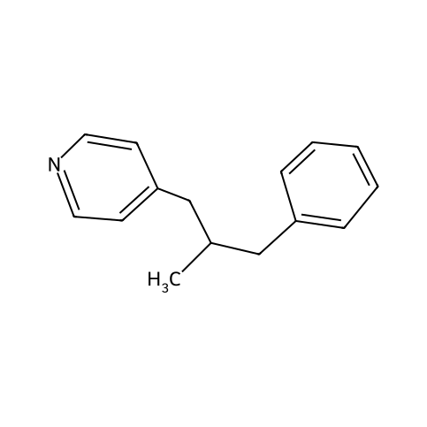 CC(Cc1ccccc1)Cc1ccncc1